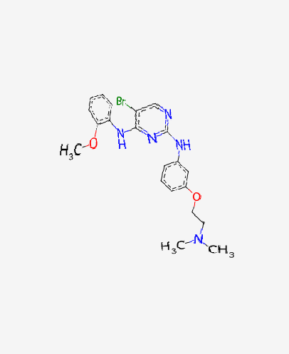 COc1ccccc1Nc1nc(Nc2cccc(OCCN(C)C)c2)ncc1Br